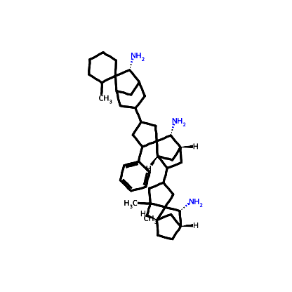 CC1CCCCC12C1CC(C3CC(c4ccccc4)C4(C3)[C@@H]3C[C@@H](CC3C3CC(C)(C)C5(C3)[C@H]3CC[C@H](C3)[C@H]5N)[C@H]4N)CC(C1)[C@H]2N